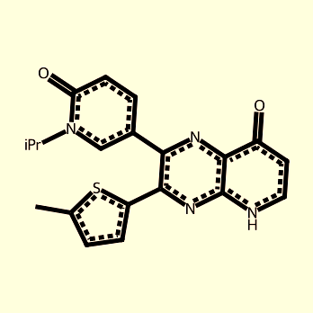 Cc1ccc(-c2nc3[nH]ccc(=O)c3nc2-c2ccc(=O)n(C(C)C)c2)s1